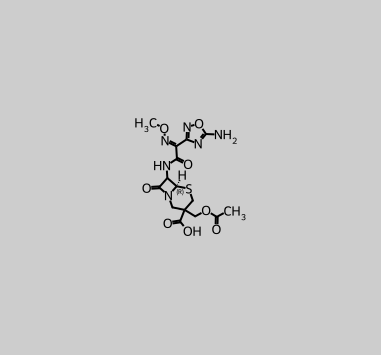 CON=C(C(=O)NC1C(=O)N2CC(COC(C)=O)(C(=O)O)CS[C@H]12)c1noc(N)n1